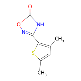 Cc1cc(C)c(-c2noc(=O)[nH]2)s1